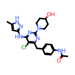 CC(=O)Nc1ccc(Cc2nc(N3CCC(O)CC3)nc(Nc3cc(C)[nH]n3)c2Cl)cc1